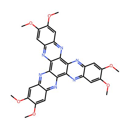 COc1cc2nc3c4nc5cc(OC)c(OC)cc5nc4c4nc5cc(OC)c(OC)cc5nc4c3nc2cc1OC